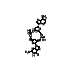 Nc1nc2c(ncn2C2O[C@@H]3CO[P@@](=O)(S)O[C@H]4C[C@H](c5cnc6c(N)ccnn56)OC4COP(=O)(S)O[C@@H]2C3)c(=O)[nH]1